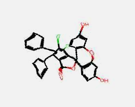 O=C1OC2(c3ccc(O)cc3Oc3cc(O)ccc32)c2c(Cl)c(Cl)c(-c3ccccc3)c(-c3ccccc3)c21